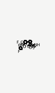 CC1(C)C(=O)N(c2c[nH]cn2)c2cccc(-c3ccc(C(F)(F)F)c(C(=O)Nc4ccc(F)cc4)c3)c21